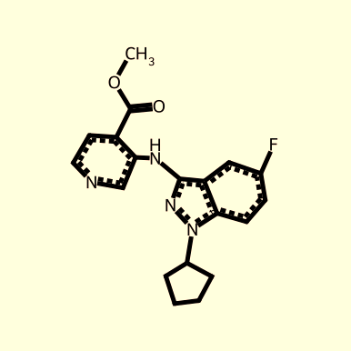 COC(=O)c1ccncc1Nc1nn(C2CCCC2)c2ccc(F)cc12